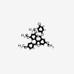 COc1ccc(-c2oc3cc(OC)cc(C(=O)Oc4ccc(Cl)cc4)c3c2-c2cc(OC)cc(OC)c2)cc1